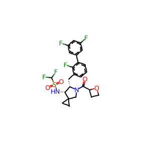 O=C(C1CCO1)N1CC2(CC2)[C@H](NS(=O)(=O)C(F)F)[C@@H]1Cc1cccc(-c2cc(F)cc(F)c2)c1F